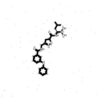 CC(C)C[C@H](NC(=O)C1CC(CNC(=O)c2cccc(Oc3ccccc3)c2)=NO1)B(O)O